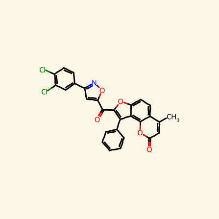 Cc1cc(=O)oc2c1ccc1oc(C(=O)c3cc(-c4ccc(Cl)c(Cl)c4)no3)c(-c3ccccc3)c12